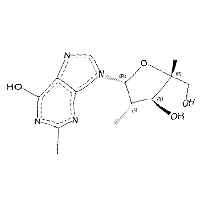 Cc1nc(O)c2ncn([C@@H]3O[C@](C)(CO)[C@@H](O)[C@@H]3C)c2n1